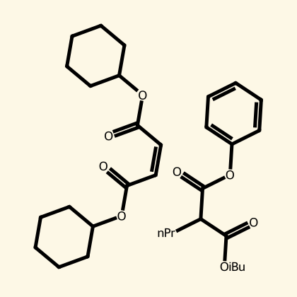 CCCC(C(=O)OCC(C)C)C(=O)Oc1ccccc1.O=C(/C=C\C(=O)OC1CCCCC1)OC1CCCCC1